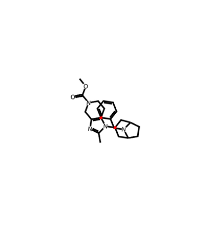 COC(=O)N1CCc2c(nc(C)n2C2CC3CCC(C2)N3Cc2ccccc2)C1